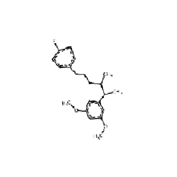 COc1cc(OC)cc(C(C)C(C)CCCc2ccc(F)cc2)c1